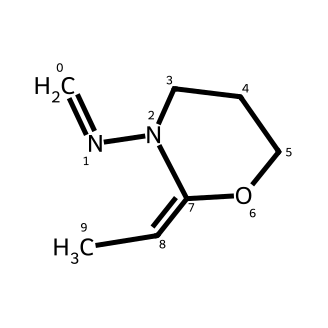 C=NN1CCCO/C1=C/C